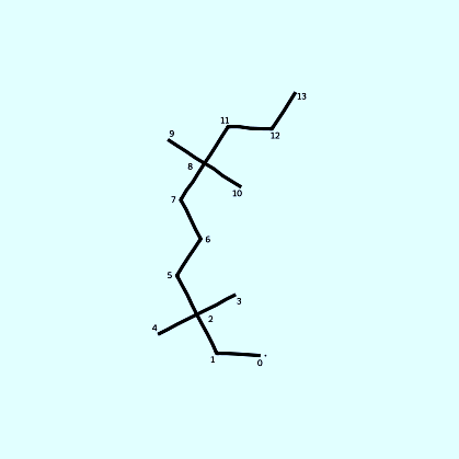 [CH2]CC(C)(C)CCCC(C)(C)CCC